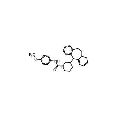 O=C(Nc1ccc(OC(F)(F)F)cc1)N1CCCC(C2C3=CC=CCC3=CCc3ccccc32)C1